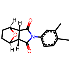 Cc1ccc(N2C(=O)[C@@H]3[C@H](C2=O)[C@H]2CC[C@@H]3O2)cc1C